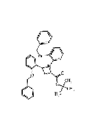 CC(C)(C)OC(=O)C1CC(c2ccccc2OCc2ccccc2)N1c1ccccc1OCc1ccccc1